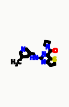 Cc1cncc(CNc2nc(C(=O)N3CCC3)c3sccc3n2)c1